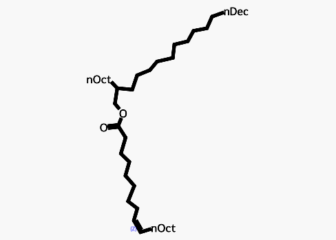 CCCCCCCC/C=C\CCCCCCCC(=O)OCC(CCCCCCCC)CCCCCCCCCCCCCCCCCCCC